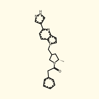 C[C@H]1CC(Cn2ccc3nc(-c4cn[nH]c4)ccc32)CN1C(=O)Cc1ccccc1